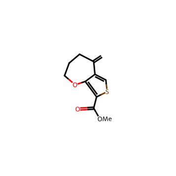 C=C1CCCOc2c1csc2C(=O)OC